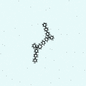 C1=CC(c2ccc(-c3ccc(N(c4ccccc4)c4ccc(-c5ccc(-c6ccccc6)cc5)cc4)cc3)cc2)=CC=C(N(c2ccccc2)c2ccc(-c3ccc(-c4ccccc4)cc3)cc2)C1